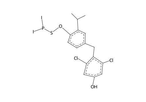 CC(C)c1cc(Cc2c(Cl)cc(O)cc2Cl)ccc1OSP(I)I